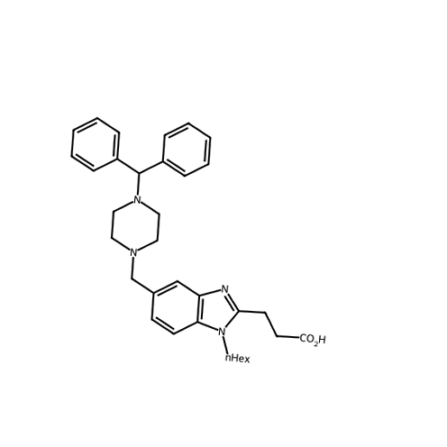 CCCCCCn1c(CCC(=O)O)nc2cc(CN3CCN(C(c4ccccc4)c4ccccc4)CC3)ccc21